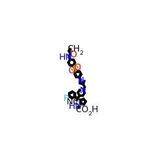 C=CC(=O)NC1CCC(S(=O)(=O)c2ccc(N3CC(CN4CCC(C(C#N)(c5cccc(F)c5)[C@H]5CCC[C@@H]5NC(=O)O)CC4)C3)cc2)CC1